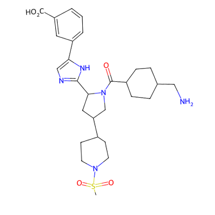 CS(=O)(=O)N1CCC(C2CC(c3ncc(-c4cccc(C(=O)O)c4)[nH]3)N(C(=O)C3CCC(CN)CC3)C2)CC1